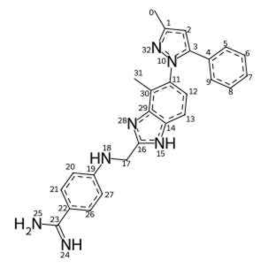 Cc1cc(-c2ccccc2)n(-c2ccc3[nH]c(CNc4ccc(C(=N)N)cc4)nc3c2C)n1